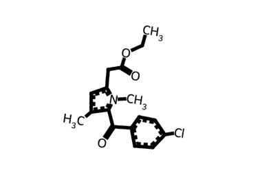 CCOC(=O)Cc1cc(C)c(C(=O)c2ccc(Cl)cc2)n1C